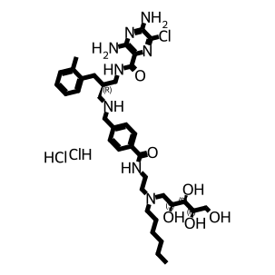 CCCCCCN(CCNC(=O)c1ccc(CNC[C@H](CNC(=O)c2nc(Cl)c(N)nc2N)Cc2ccccc2C)cc1)C[C@H](O)[C@@H](O)[C@H](O)CO.Cl.Cl